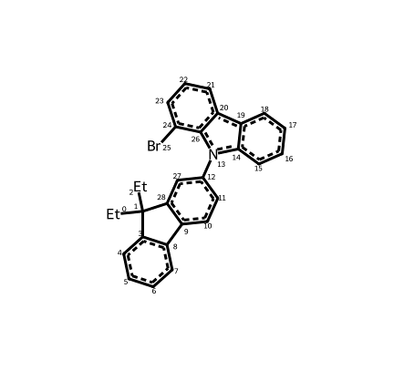 CCC1(CC)c2ccccc2-c2ccc(-n3c4ccccc4c4cccc(Br)c43)cc21